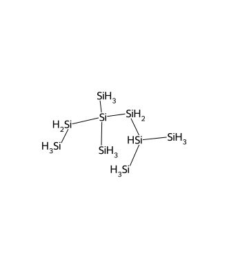 [SiH3][SiH2][Si]([SiH3])([SiH3])[SiH2][SiH]([SiH3])[SiH3]